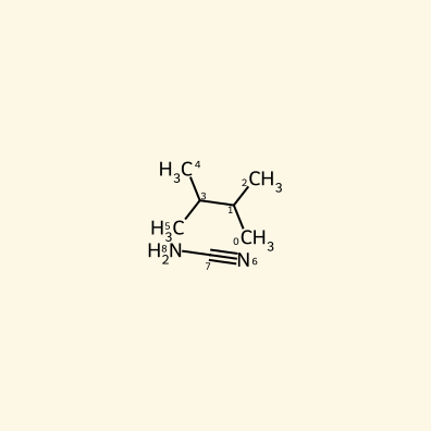 CC(C)C(C)C.N#CN